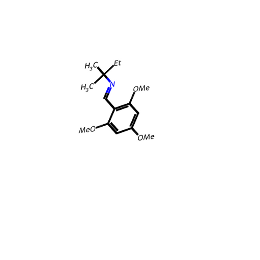 CCC(C)(C)N=Cc1c(OC)cc(OC)cc1OC